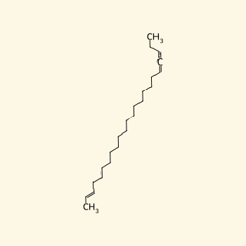 CC=CCCCCCCCCCCCCCCCC=C=CCC